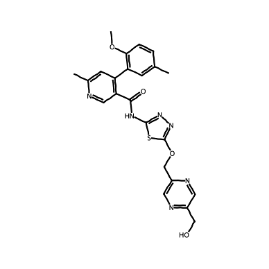 COc1ccc(C)cc1-c1cc(C)ncc1C(=O)Nc1nnc(OCc2cnc(CO)cn2)s1